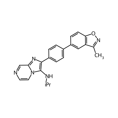 Cc1noc2ccc(-c3ccc(-c4nc5cnccn5c4NC(C)C)cc3)cc12